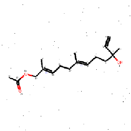 C=CC(C)(O)CC/C=C(\C)CC/C=C(\C)COC(C)=O